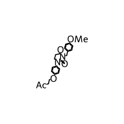 COc1ccc(CN2C(=O)CCN(c3ccc(OCCC(C)=O)cc3)C2=O)cc1